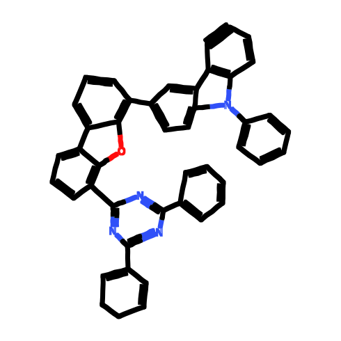 c1ccc2c(c#1)c1cc(-c3cccc4c3oc3c(-c5nc(C6=CCCC=C6)nc(-c6ccccc6)n5)cccc34)ccc1n2-c1ccccc1